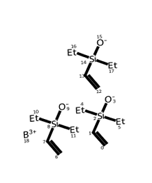 C=C[Si]([O-])(CC)CC.C=C[Si]([O-])(CC)CC.C=C[Si]([O-])(CC)CC.[B+3]